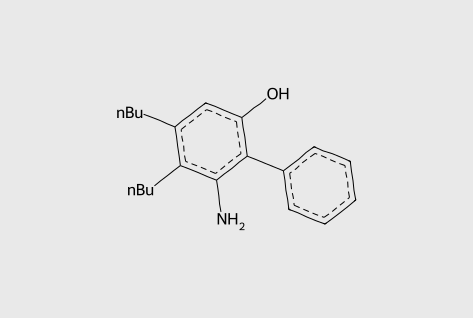 CCCCc1cc(O)c(-c2ccccc2)c(N)c1CCCC